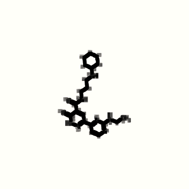 CCNc1nccc(-c2cc(C(=O)NCCCNC3CCCCC3)c(=O)[nH]n2)n1